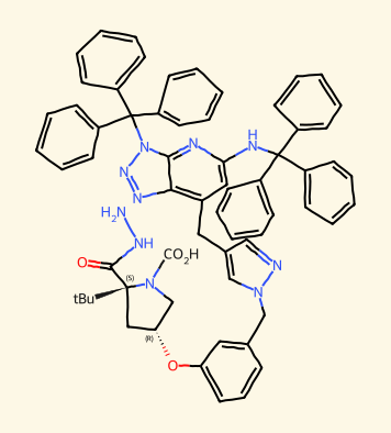 CC(C)(C)[C@]1(C(=O)NN)C[C@@H](Oc2cccc(Cn3cc(Cc4cc(NC(c5ccccc5)(c5ccccc5)c5ccccc5)nc5c4nnn5C(c4ccccc4)(c4ccccc4)c4ccccc4)cn3)c2)CN1C(=O)O